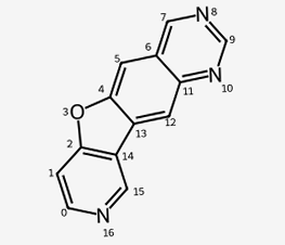 c1cc2oc3cc4cncnc4cc3c2cn1